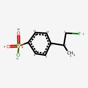 CC(CF)c1ccc(S(=O)(=O)Cl)cc1